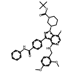 COc1ccc(CNc2ncc(I)c3c2c(-c2ccc(C(=O)Nc4ccccc4)cc2)nn3[C@@H]2CCCN(C(=O)OC(C)(C)C)C2)c(OC)c1